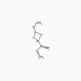 C=CC(=N)N1CC(OC)C1